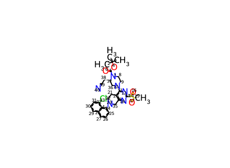 CC(C)(C)OC(=O)N1CCN(c2nc(S(C)(=O)=O)nc3c2CCN(c2cccc4cccc(Cl)c24)C3)C[C@@H]1CC#N